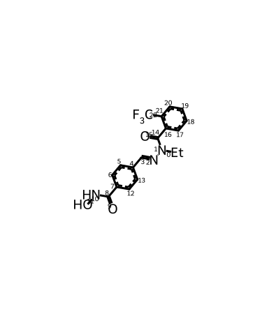 CCN(N=Cc1ccc(C(=O)NO)cc1)C(=O)c1ccccc1C(F)(F)F